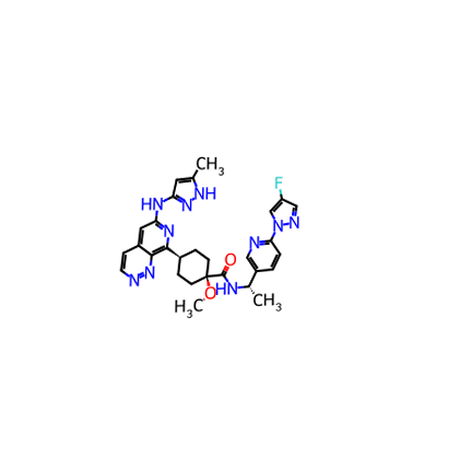 CO[C@]1(C(=O)N[C@@H](C)c2ccc(-n3cc(F)cn3)nc2)CC[C@H](c2nc(Nc3cc(C)[nH]n3)cc3ccnnc32)CC1